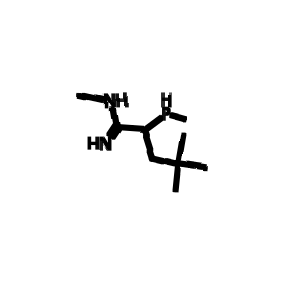 CNC(=N)C(CC(C)(C)C)PC